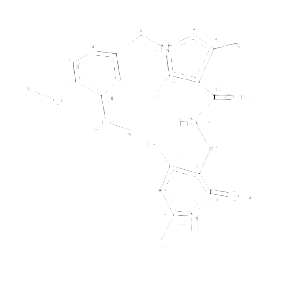 COc1ccc(Cn2cc(C)c(C(=O)NCc3c(C)cc(C)[nH]c3=O)c2C)cc1OC